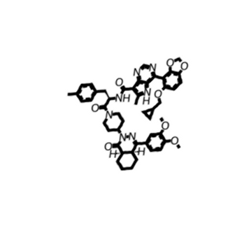 COc1ccc(C2=NN(C3CCN(C(=O)[C@@H](Cc4ccc(C)cc4)NC(=O)c4c(C)[nH]c5c(-c6c(OCC7CC7)ccc7c6OCO7)ncnc45)CC3)C(=O)[C@@H]3CCCC[C@H]23)cc1OC